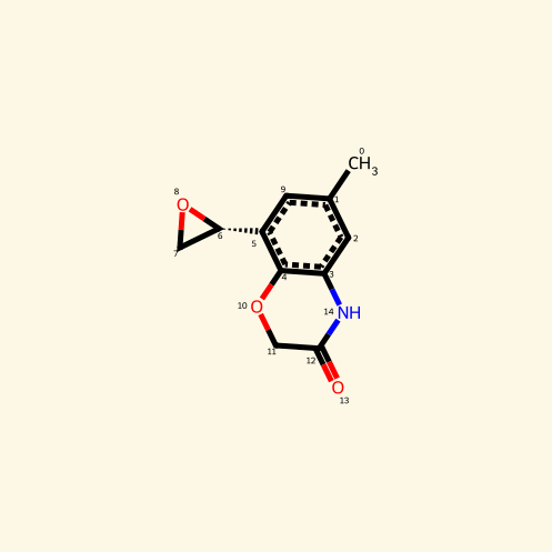 Cc1cc2c(c([C@@H]3CO3)c1)OCC(=O)N2